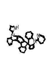 c1ccc(N2c3ccccc3C3(c4ccccc4-c4c3ccc3c4c4ccccc4n3-c3ccc[nH]3)c3ccccc32)nc1